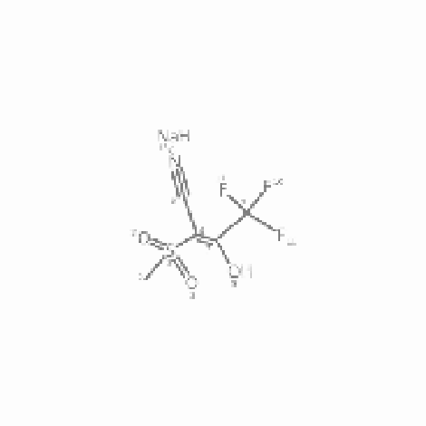 CS(=O)(=O)C(C#N)=C(O)C(F)(F)F.[NaH]